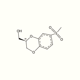 CS(=O)(=O)c1ccc2c(c1)O[C@H](CO)CO2